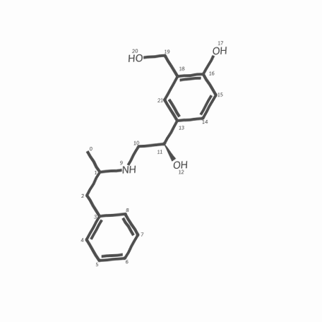 CC(Cc1ccccc1)NC[C@H](O)c1ccc(O)c(CO)c1